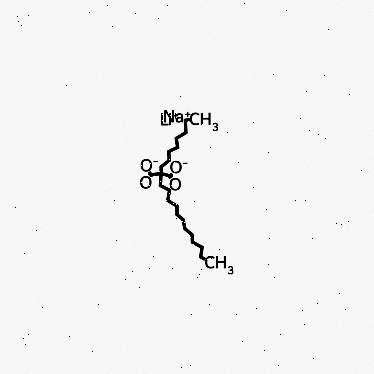 CCCCCCCCCCCCC(CCCCCCCC)(C(=O)[O-])C(=O)[O-].[Li+].[Na+]